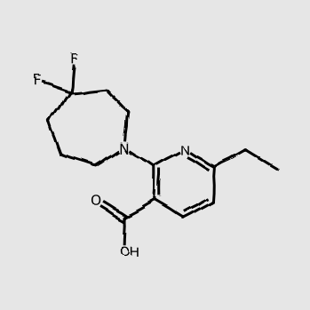 CCc1ccc(C(=O)O)c(N2CCCC(F)(F)CC2)n1